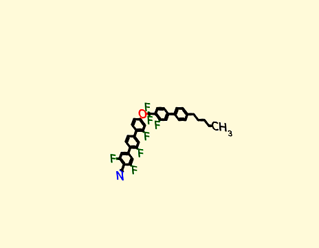 CCCCCc1ccc(-c2ccc(C(F)(F)Oc3ccc(-c4ccc(-c5cc(F)c(C#N)c(F)c5)c(F)c4)c(F)c3)c(F)c2)cc1